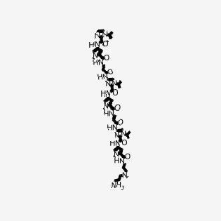 CC(C)n1ccnc1C(=O)Nc1cc(C(=O)NCCC(=O)Nc2cn(C(C)C)c(C(=O)Nc3cc(C(=O)NCCC(=O)Nc4cn(C(C)C)c(C(=O)Nc5cc(C(=O)NCCCN(C)CCCN)n(C)c5)n4)n(C)c3)n2)n(C)c1